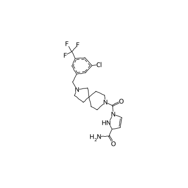 NC(=O)C1C=CN(C(=O)N2CCC3(CCN(Cc4cc(Cl)cc(C(F)(F)F)c4)C3)CC2)N1